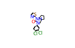 O=C(Nc1nccs1)N(CC1CCCC1)c1ccc(Cl)c(Cl)c1